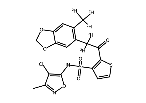 [2H]C([2H])([2H])c1cc2c(cc1C([2H])([2H])C(=O)c1sccc1S(=O)(=O)Nc1onc(C)c1Cl)OCO2